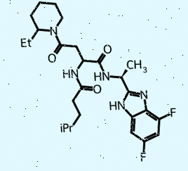 CCC1CCCCN1C(=O)CC(NC(=O)CCC(C)C)C(=O)N[C@@H](C)c1nc2c(F)cc(F)cc2[nH]1